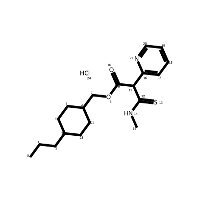 CCCC1CCC(COC(=O)C(C(=S)NC)c2ccccn2)CC1.Cl